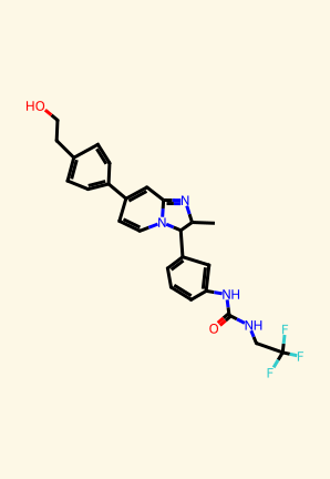 CC1N=C2C=C(c3ccc(CCO)cc3)C=CN2C1c1cccc(NC(=O)NCC(F)(F)F)c1